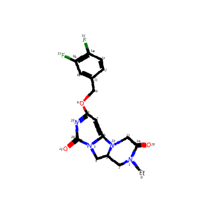 CCN1CC2Cn3c(cc(OCc4ccc(F)c(F)c4)nc3=O)N2CC1=O